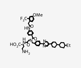 CCC1CCC(C2CC=C(c3cnc(-c4ccc(CN(CC(=O)N[C@@H](CCN)C(=O)O)C(=O)c5ccc(NC(=O)Cc6ccc(OC)cc6C(F)(F)F)cc5)cc4)nc3)CC2)CC1